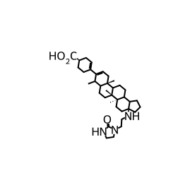 CC1C(C2=CC[C@H](C(=O)O)CC2)=CC[C@@]2(C)C1CC[C@]1(C)C2CCC2C3CCC[C@]3(NCCN3CCNC3=O)CC[C@]21C